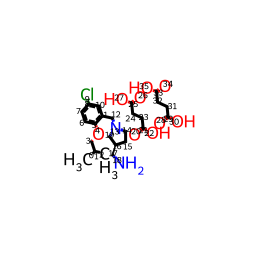 CC(C)COc1ccc(Cl)cc1CN1CC[C@@H](CN)C1.O=C(O)CCC(=O)O.O=C(O)CCC(=O)O